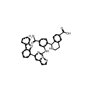 NC(=O)c1ccc(C2NCCc3cc(C(=O)O)ccc32)c(Nc2nc(-c3cccc4c3oc3ccccc34)cc3ccnn23)c1